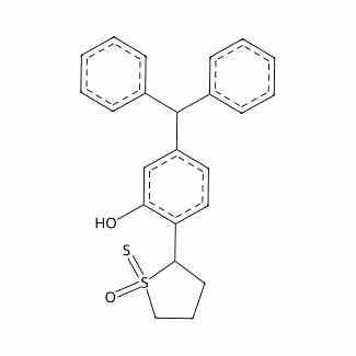 O=S1(=S)CCCC1c1ccc(C(c2ccccc2)c2ccccc2)cc1O